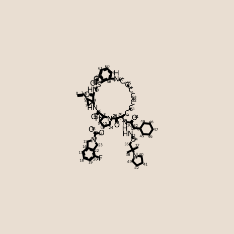 C=C[C@@H]1C[C@@]12NC(=O)[C@@H]1C[C@@H](OC(=O)N3Cc4cccc(F)c4C3)CN1C(=O)[C@@H](NC(=O)[C@@H](NOCC(C)(C)N1CCCC1)C1CCCCC1)CCCCCCCNc1ccccc1S(=O)(=O)NC2=O